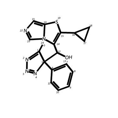 CC1=NN=NC1(c1ccccc1)C(O)c1c(C2CC2)sc2cncn12